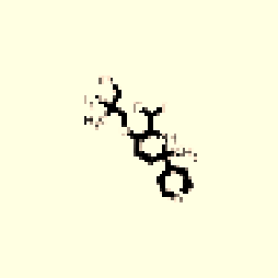 CC(C)CC(C)(N)COC1=C(C(F)F)NC(C)(c2ccncc2)C=C1